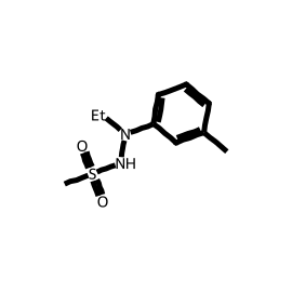 CCN(NS(C)(=O)=O)c1cccc(C)c1